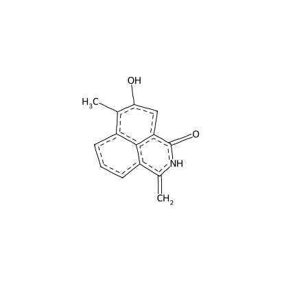 C=c1[nH]c(=O)c2cc(O)c(C)c3cccc1c32